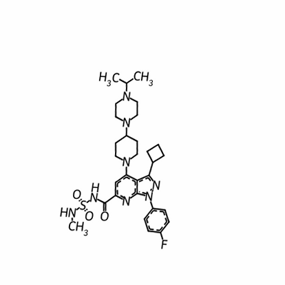 CNS(=O)(=O)NC(=O)c1cc(N2CCC(N3CCN(C(C)C)CC3)CC2)c2c(C3CCC3)nn(-c3ccc(F)cc3)c2n1